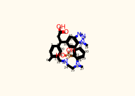 Cc1ccc(C(CC(=O)O)c2ccc3c(c2)nnn3C)cc1CN1CCN(C)c2ccccc2S1(O)O